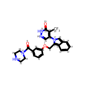 O=C(c1cccc(OCc2c3ccccc3cn2-c2cn[nH]c(=O)c2C(F)(F)F)c1)N1CCNCC1